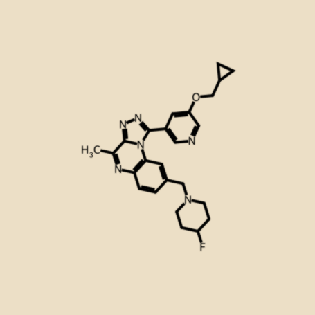 Cc1nc2ccc(CN3CCC(F)CC3)cc2n2c(-c3cncc(OCC4CC4)c3)nnc12